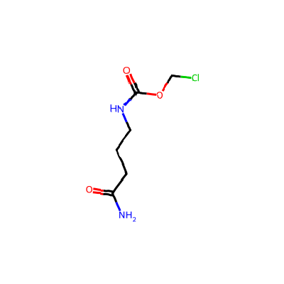 NC(=O)CCCNC(=O)OCCl